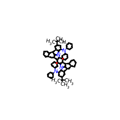 CC(C)(C)c1cc(N(c2ccccc2)c2ccccc2)c2c(c1)c1cc3ccccc3c3c4cc5c(cc4n2c13)c1cc2ccccc2c2c3cc(C(C)(C)C)cc(N(c4ccccc4)c4ccccc4)c3n5c12